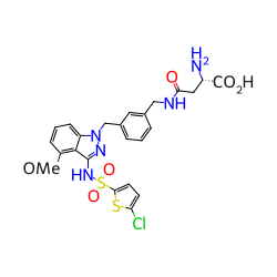 COc1cccc2c1c(NS(=O)(=O)c1ccc(Cl)s1)nn2Cc1cccc(CNC(=O)C[C@H](N)C(=O)O)c1